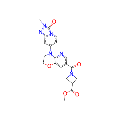 COC(=O)C1CN(C(=O)c2cnc3c(c2)OCCN3c2ccn3c(=O)n(C)nc3c2)C1